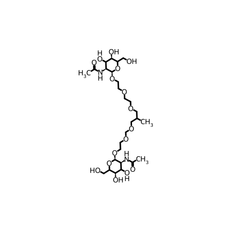 CC(=O)N[C@H]1C(O)[C@@H](O)C(CO)O[C@H]1OCCOCCOCC(C)COCOCCO[C@@H]1OC(CO)[C@H](O)C(O)[C@@H]1NC(C)=O